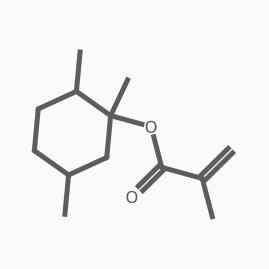 C=C(C)C(=O)OC1(C)CC(C)CCC1C